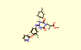 COC(=O)[C@@H](C)Cn1c(=O)[nH]/c(=N\c2ccc(Oc3ccccn3)c(F)c2)n(C[C@H]2CC[C@H](C)CC2)c1=O